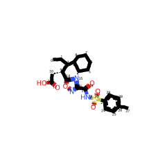 CCC(C1CCCCC1)[C@@H](CC(=O)O)c1nc(C(=O)NS(=O)(=O)c2ccc(C)cc2)no1